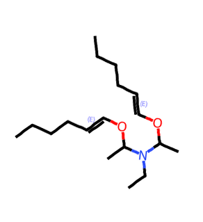 CCCC/C=C/OC(C)N(CC)C(C)O/C=C/CCCC